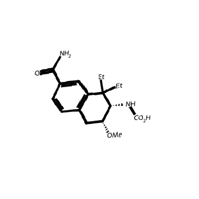 CCC1(CC)c2cc(C(N)=O)ccc2C[C@@H](OC)[C@H]1NC(=O)O